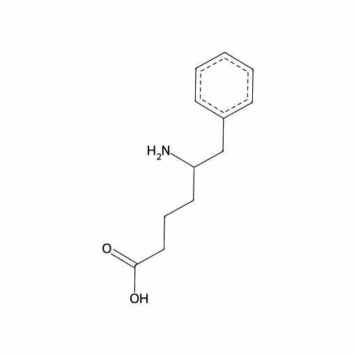 NC(CCCC(=O)O)Cc1ccccc1